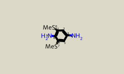 CSc1cc(N)cc(SC)c1N